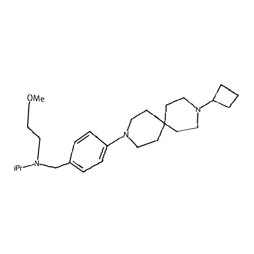 COCCN(Cc1ccc(N2CCC3(CC2)CCN(C2CCC2)CC3)cc1)C(C)C